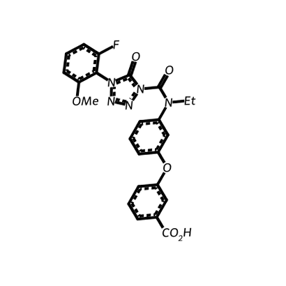 CCN(C(=O)n1nnn(-c2c(F)cccc2OC)c1=O)c1cccc(Oc2cccc(C(=O)O)c2)c1